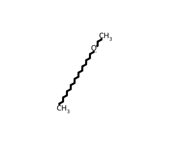 CCCCCCCCCCCCCCCCCC[CH]OCCCC